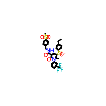 CCc1ccc([S+]([O-])c2cc(C(=O)NCc3ccc(S(C)(=O)=O)cc3)c(=O)n(-c3cccc(C(F)(F)F)c3)c2C)cc1